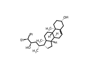 CC[C@@H](C(C)C)[C@H](O)C[C@@H](C)[C@H]1CC[C@H]2[C@@H]3CC=C4C[C@@H](O)CC[C@]4(C)[C@H]3CC[C@]12C